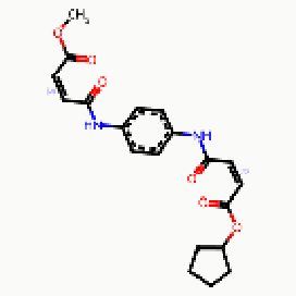 COC(=O)/C=C\C(=O)Nc1ccc(NC(=O)/C=C\C(=O)OC2CCCC2)cc1